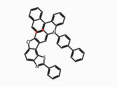 c1ccc(-c2ccc(N(c3ccc4oc5ccc6nc(-c7ccccc7)sc6c5c4c3)c3ccccc3-c3cccc4ccccc34)cc2)cc1